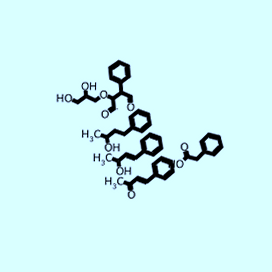 CC(=O)C=Cc1ccccc1.CC(O)C=Cc1ccccc1.CC(O)CCc1ccccc1.O=C(O)Cc1ccccc1.O=[C]C(OCC(O)CO)C(C=O)c1ccccc1